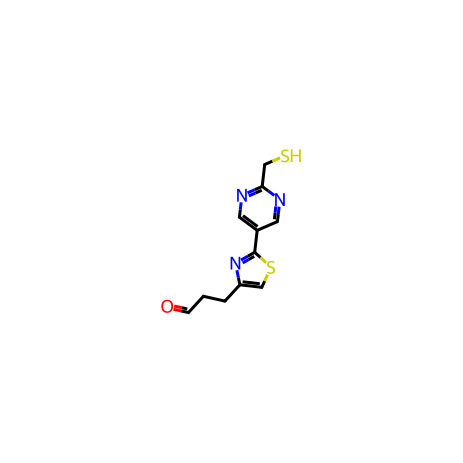 O=CCCc1csc(-c2cnc(CS)nc2)n1